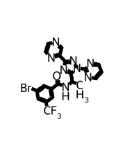 CC(NC(=O)c1cc(Br)cc(C(F)(F)F)c1)c1nc(-c2cnccn2)nn1-c1ncccn1